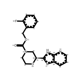 O=C(OCc1ccccc1F)N1CCO[C@H](c2nc3cccnc3[nH]2)C1